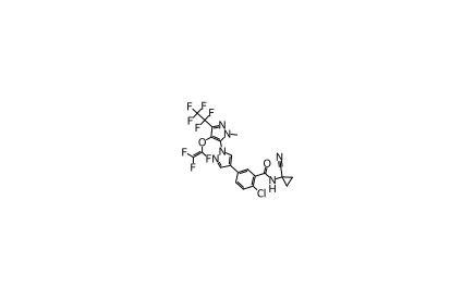 Cn1nc(C(F)(F)C(F)(F)F)c(OC(F)=C(F)F)c1-n1cc(-c2ccc(Cl)c(C(=O)NC3(C#N)CC3)c2)cn1